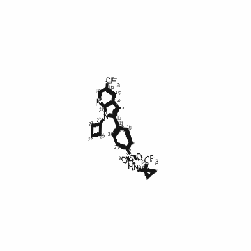 O=S(=O)(NC1(C(F)(F)F)CC1)c1ccc(-c2cc3cc(C(F)(F)F)cnc3n2C2CCC2)cc1